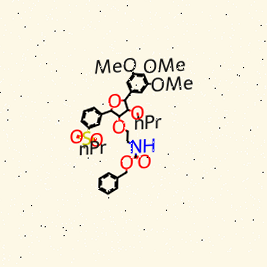 CCCOC1C(c2cc(OC)c(OC)c(OC)c2)OC(c2cccc(S(=O)(=O)CCC)c2)C1OCCNC(=O)OCc1ccccc1